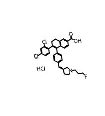 Cl.O=C(O)c1ccc2c(c1)CCC(c1ccc(Cl)cc1Cl)=C2c1ccc(/C=C2/CCN(CCCF)C2)cc1